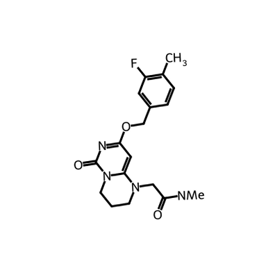 CNC(=O)CN1CCCn2c1cc(OCc1ccc(C)c(F)c1)nc2=O